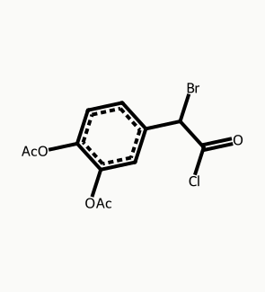 CC(=O)Oc1ccc(C(Br)C(=O)Cl)cc1OC(C)=O